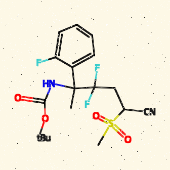 CC(C)(C)OC(=O)NC(C)(c1ccccc1F)C(F)(F)CC(C#N)S(C)(=O)=O